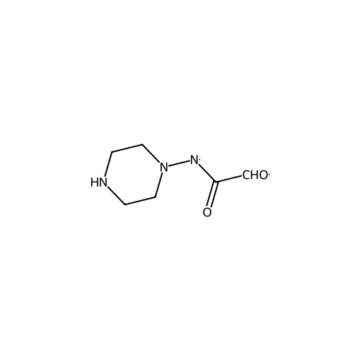 O=[C]C(=O)[N]N1CCNCC1